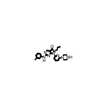 C=CCn1c(=O)c2cnc(Nc3cccc(C)c3)nc2n1-c1cccc(N2CCNCC2)n1